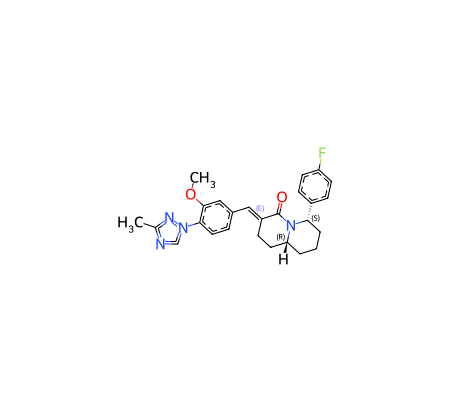 COc1cc(/C=C2\CC[C@H]3CCC[C@@H](c4ccc(F)cc4)N3C2=O)ccc1-n1cnc(C)n1